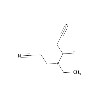 CCP(CCC#N)C(F)CC#N